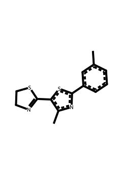 Cc1cccc(-c2nc(C)c(C3=NCCS3)s2)c1